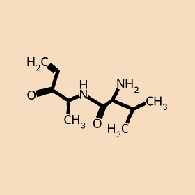 C=CC(=O)C(C)NC(=O)C(N)C(C)C